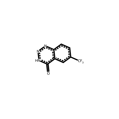 O=c1[nH]nnc2ccc(C(F)(F)F)cc12